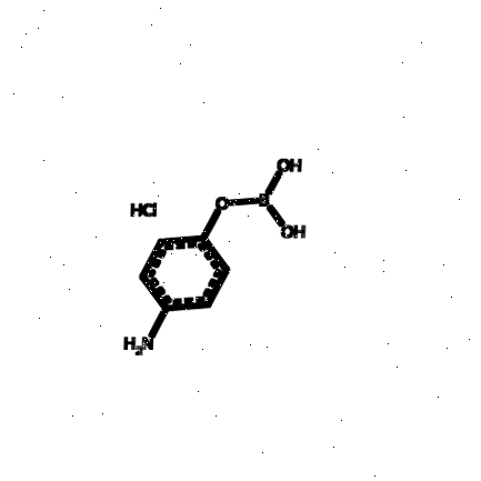 Cl.Nc1ccc(OB(O)O)cc1